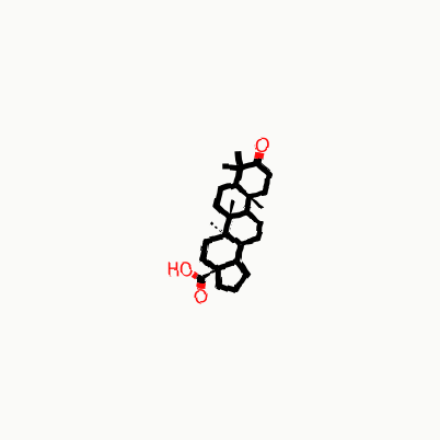 CC1(C)C(=O)CC[C@@]2(C)C1CC[C@]1(C)C2CCC2C3CCC[C@]3(C(=O)O)CC[C@]21C